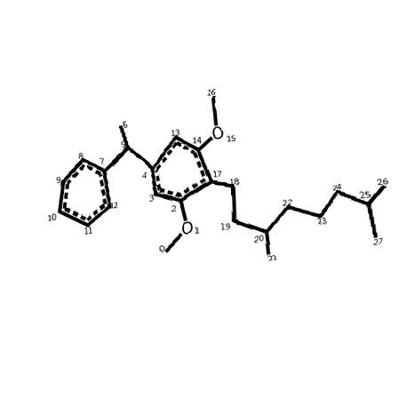 COc1cc(C(C)c2ccccc2)cc(OC)c1CCC(C)CCCC(C)C